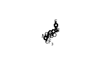 COC(=O)[C@]12Cc3cnn(-c4ccc(F)cc4)c3C=C1CCN(S(=O)(=O)c1cccc(C(F)(F)F)c1)C2